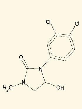 CN1CC(O)N(c2ccc(Cl)c(Cl)c2)C1=O